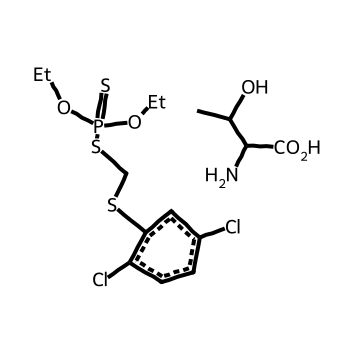 CC(O)C(N)C(=O)O.CCOP(=S)(OCC)SCSc1cc(Cl)ccc1Cl